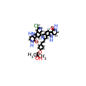 CC(C)(O)COc1ccc(C=Cc2cc3c(ccc4c5c([nH]c43)CCNC5=O)cn2)cc1.O=C1NCCc2[nH]c3c(ccc4cnc(Cl)cc43)c21